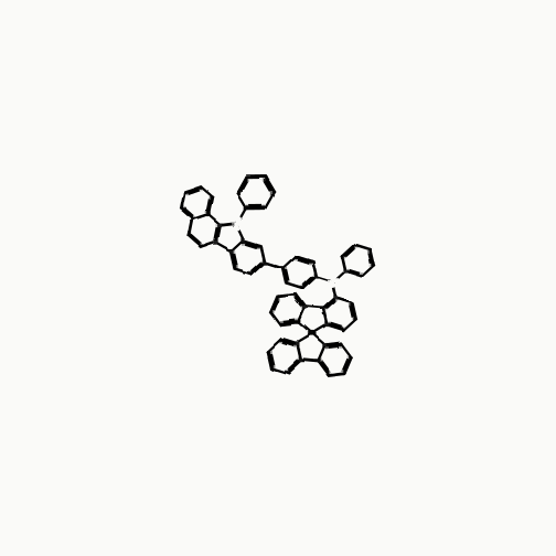 c1ccc(N(c2ccc(-c3ccc4c5ccc6ccccc6c5n(-c5ccccc5)c4c3)cc2)c2cccc3c2-c2ccccc2C32c3ccccc3-c3ccccc32)cc1